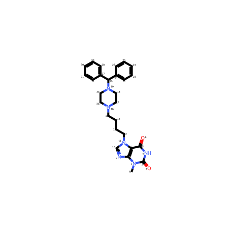 Cn1c(=O)[nH]c(=O)c2c1ncn2CCCCN1CCN(C(c2ccccc2)c2ccccc2)CC1